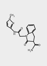 Cn1ccc(NC(=O)CN2C(=O)C(C(N)=O)Cc3ccccc32)n1